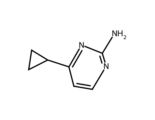 Nc1nccc(C2CC2)n1